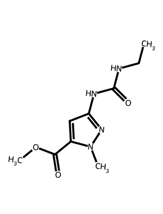 CCNC(=O)Nc1cc(C(=O)OC)n(C)n1